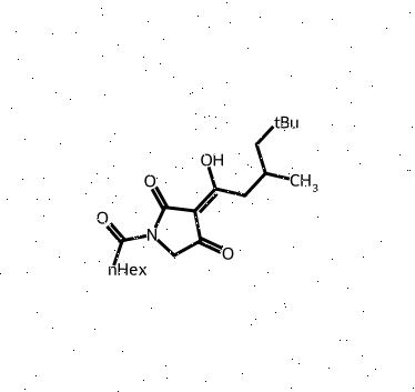 CCCCCCC(=O)N1CC(=O)/C(=C(/O)CC(C)CC(C)(C)C)C1=O